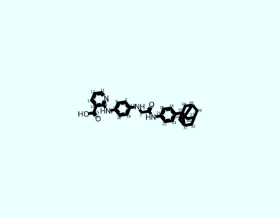 O=C(CNc1ccc(Nc2ncccc2C(=O)O)cc1)Nc1ccc(C23CC4CC(CC(C4)C2)C3)cc1